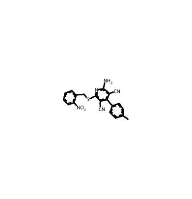 Cc1ccc(-c2c(C#N)c(N)nc(SCc3ccccc3[N+](=O)[O-])c2C#N)cc1